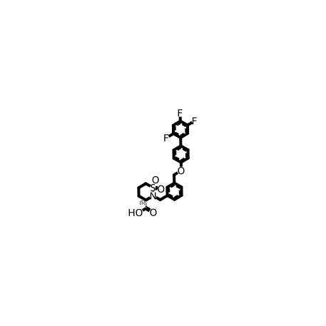 O=C(O)[C@@H]1CCCS(=O)(=O)N1Cc1cccc(COc2ccc(-c3cc(F)c(F)cc3F)cc2)c1